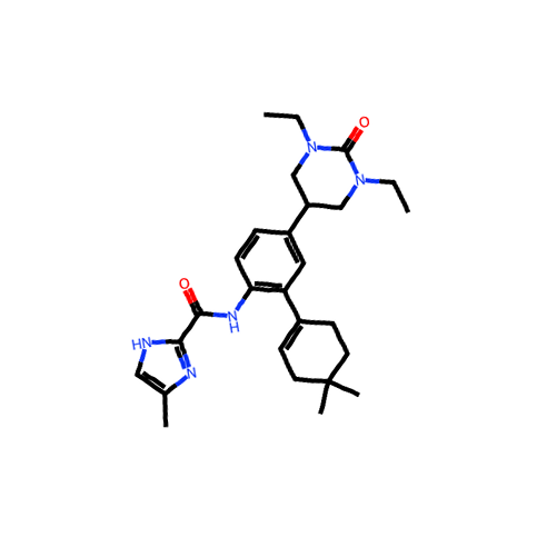 CCN1CC(c2ccc(NC(=O)c3nc(C)c[nH]3)c(C3=CCC(C)(C)CC3)c2)CN(CC)C1=O